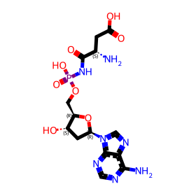 Nc1ncnc2c1ncn2[C@H]1C[C@H](O)[C@@H](COP(=O)(O)NC(=O)[C@@H](N)CC(=O)O)O1